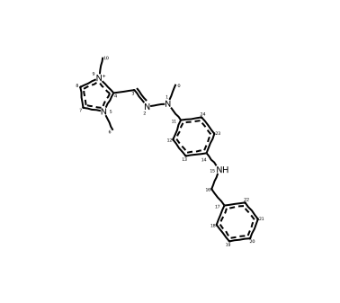 CN(/N=C/c1n(C)cc[n+]1C)c1ccc(NCc2ccccc2)cc1